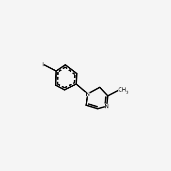 CC1=NC=CN(c2ccc(I)cc2)C1